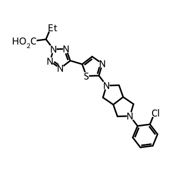 CCC(C(=O)O)n1nnc(-c2cnc(N3CC4CN(c5ccccc5Cl)CC4C3)s2)n1